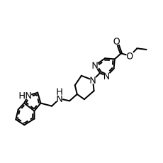 CCOC(=O)c1cnc(N2CCC(CNCc3c[nH]c4ccccc34)CC2)nc1